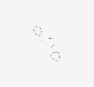 Cc1ccccc1C(=O)N[C@@H](Cc1ccccc1)C(=O)O